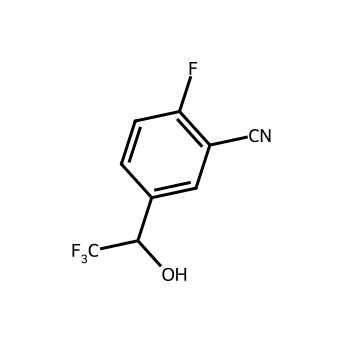 N#Cc1cc(C(O)C(F)(F)F)ccc1F